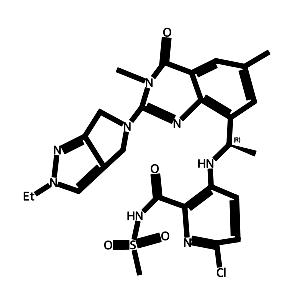 CCn1cc2c(n1)CN(c1nc3c([C@@H](C)Nc4ccc(Cl)nc4C(=O)NS(C)(=O)=O)cc(C)cc3c(=O)n1C)C2